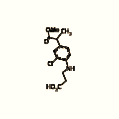 COC(=O)C(C)c1ccc(NCCC(=O)O)c(Cl)c1